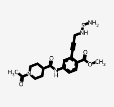 COC(=O)c1ccc(NC(=O)C2CCN(C(C)=O)CC2)cc1C#CCNSN